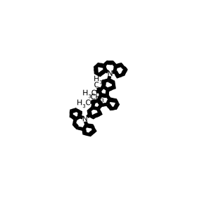 CC1(C)c2cc(N3c4ccccc4C=Cc4ccccc43)ccc2-c2c1c1c(c3ccccc23)C2C=CC(N3c4ccccc4C=Cc4ccccc43)=CC2C1(C)C